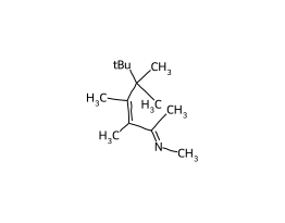 C/N=C(C)/C(C)=C(/C)C(C)(C)C(C)(C)C